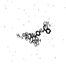 Cc1cc(COc2ccc(C(=O)NC(C3CCN(S(C)(=O)=O)CC3)C3NC(=O)NC3=O)cc2)c2ccccc2n1